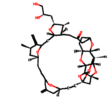 C=C1C[C@@H]2CC[C@@]34C[C@@]5(C)O[C@H]6[C@@H](O3)[C@H]3OC(CC[C@@H]3O[C@H]6[C@H]5O4)CC(=O)C[C@@H]3[C@@H](C)[C@@H](C[C@H](O)CO)O[C@H]3CC3O[C@@H](CCC1O2)C[C@@H](C)C3=C